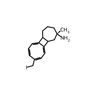 C[C@]1(N)CCCC2C3=C/C=C\C(CI)=C/C=C\3C2C1